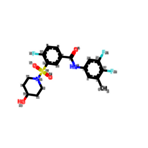 Cc1cc(NC(=O)c2ccc(F)c(S(=O)(=O)N3CCC(O)CC3)c2)cc(F)c1F